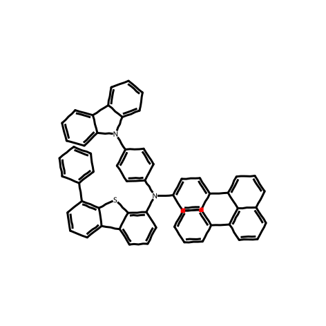 c1ccc(-c2cccc3c2sc2c(N(c4ccc(-c5cccc6cccc(-c7ccccc7)c56)cc4)c4ccc(-n5c6ccccc6c6ccccc65)cc4)cccc23)cc1